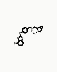 CC(=O)N1CC2CC2C1CNCc1ccc(Oc2nc3c(F)cccc3s2)cc1